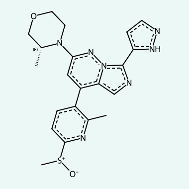 Cc1nc([S+](C)[O-])ccc1-c1cc(N2CCOC[C@H]2C)nn2c(-c3ccn[nH]3)ncc12